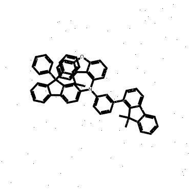 CCc1ccccc1C1(c2ccccc2)c2ccccc2-c2ccc(N(c3cccc(-c4cccc5c4C(C)(C)c4ccccc4-5)c3)c3cccc4oc5ccccc5c34)cc21